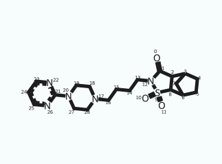 O=C1C2C3CCC(C3)C2S(=O)(=O)N1CCCCN1CCN(c2ncccn2)CC1